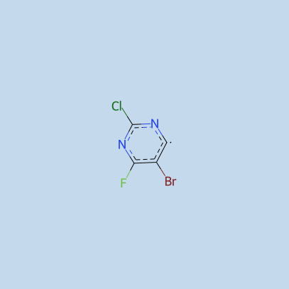 Fc1nc(Cl)n[c]c1Br